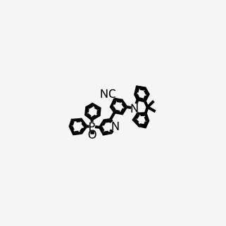 CC1(C)c2ccccc2N(c2cc(C#N)cc(-c3cc(P(=O)(c4ccccc4)c4ccccc4)ccn3)c2)c2ccccc21